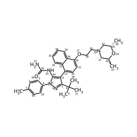 Cc1ccc(-n2nc(C(C)(C)C)c(-c3ccc(OCCN4C[C@H](C)O[C@@H](C)C4)c4ccccc34)c2NC(N)=O)cc1